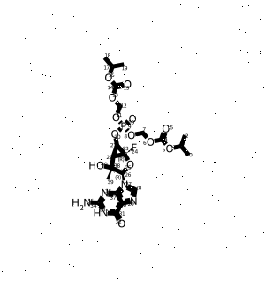 CC(C)OC(=O)OCOP(=O)(OCOC(=O)OC(C)C)OC1C2[C@]1(F)O[C@@H](n1cnc3c(=O)[nH]c(N)nc31)[C@]2(C)O